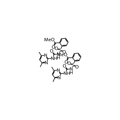 COC(=O)c1ccccc1S(=O)(=O)NC(=O)Nc1nc(C)cc(C)n1.COC(=O)c1ccccc1S(=O)(=O)NC(=O)Nc1nc(C)cc(C)n1